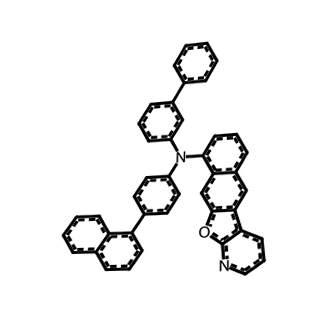 c1ccc(-c2cccc(N(c3ccc(-c4cccc5ccccc45)cc3)c3cccc4cc5c(cc34)oc3ncccc35)c2)cc1